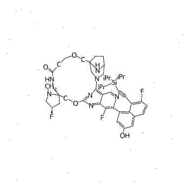 CC(C)[Si](C#Cc1c(F)ccc2cc(O)cc(-c3ncc4c5nc(nc4c3F)OCC3(CNC(=O)CCOCC46CCC(CN5C4)N6)C[C@@H](F)CN3C)c12)(C(C)C)C(C)C